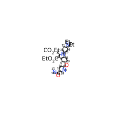 CCOC(=O)Cc1c(C(=O)OCC)c2cc(Oc3ccc(C(=O)N(C)C)cn3)ccc2n1-c1ccc(N(CC)CC)cc1